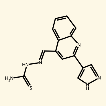 NC(=S)N/N=C/c1cc(-c2cn[nH]c2)nc2ccccc12